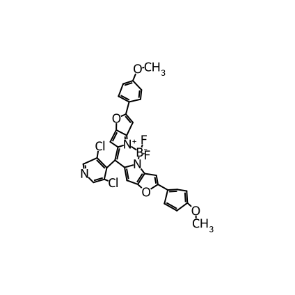 COc1ccc(-c2cc3c(o2)=CC2=C(c4c(Cl)cncc4Cl)c4cc5oc(-c6ccc(OC)cc6)cc5n4[B-](F)(F)[N+]=32)cc1